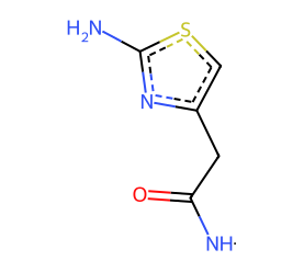 [NH]C(=O)Cc1csc(N)n1